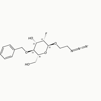 [N-]=[N+]=NCCO[C@H]1O[C@H](CO)[C@@H](OCc2ccccc2)[C@H](O)[C@@H]1F